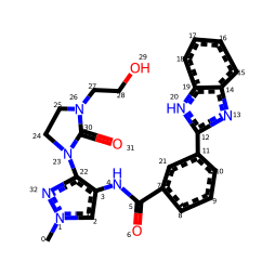 Cn1cc(NC(=O)c2cccc(-c3nc4ccccc4[nH]3)c2)c(N2CCN(CCO)C2=O)n1